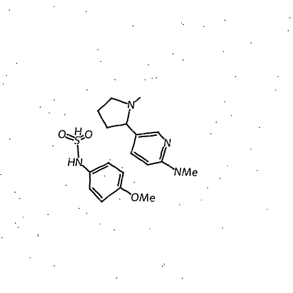 CNc1ccc(C2CCCN2C)cn1.COc1ccc(N[SH](=O)=O)cc1